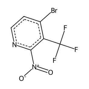 O=[N+]([O-])c1nccc(Br)c1C(F)(F)F